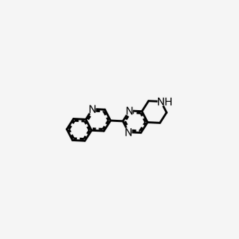 c1ccc2ncc(-c3ncc4c(n3)CNCC4)cc2c1